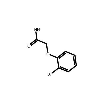 [NH]C(=O)COc1ccccc1Br